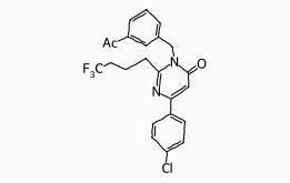 CC(=O)c1cccc(Cn2c(CCCC(F)(F)F)nc(-c3ccc(Cl)cc3)cc2=O)c1